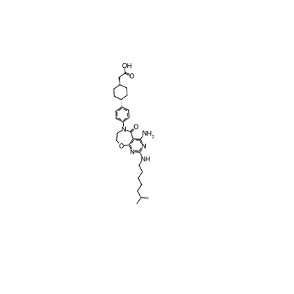 CC(C)CCCCCNc1nc(N)c2c(n1)OCCN(c1ccc([C@H]3CC[C@H](CC(=O)O)CC3)cc1)C2=O